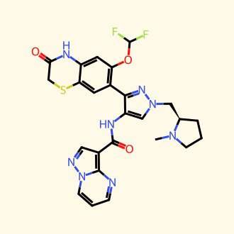 CN1CCC[C@@H]1Cn1cc(NC(=O)c2cnn3cccnc23)c(-c2cc3c(cc2OC(F)F)NC(=O)CS3)n1